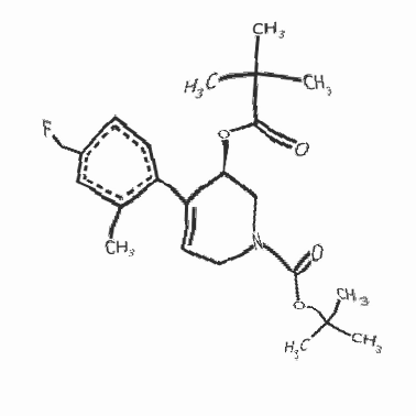 Cc1cc(F)ccc1C1=CCN(C(=O)OC(C)(C)C)C[C@@H]1OC(=O)C(C)(C)C